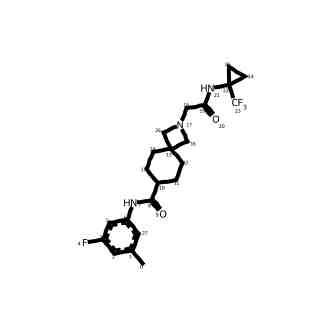 Cc1cc(F)cc(NC(=O)C2CCC3(CC2)CN(CC(=O)NC2(C(F)(F)F)CC2)C3)c1